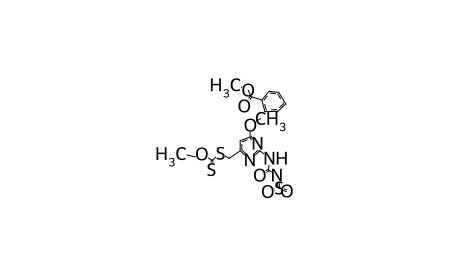 CCOC(=S)SCc1cc(OC)nc(NC(=O)N=S(=O)=O)n1.COC(=O)c1ccccc1